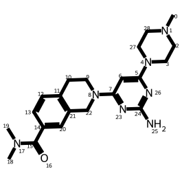 CN1CCN(c2cc(N3CCc4ccc(C(=O)N(C)C)cc4C3)nc(N)n2)CC1